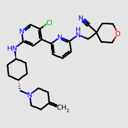 C=C1CCN(C[C@H]2CC[C@H](Nc3cc(-c4cccc(NCC5(C#N)CCOCC5)n4)c(Cl)cn3)CC2)CC1